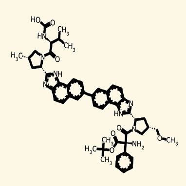 COC[C@H]1C[C@@H](c2nc3ccc4cc(-c5ccc6c(ccc7nc([C@@H]8C[C@H](C)CN8C(=O)[C@@H](NC(=O)O)C(C)C)[nH]c76)c5)ccc4c3[nH]2)N(C(=O)[C@@](N)(C(=O)OC(C)(C)C)c2ccccc2)C1